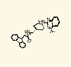 CN(C)c1nc(N[C@H]2CC[C@@H](CNC(=O)CC3c4ccccc4-c4ccccc43)CC2)nc2ccccc12